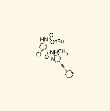 Cc1cc(C#Cc2ccccc2)cnc1NC(=O)c1cc(NC(=O)OC(C)(C)C)ccc1Cl